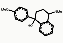 CNC1CCC(O)(c2ccc(OC)cc2)c2ccccc21